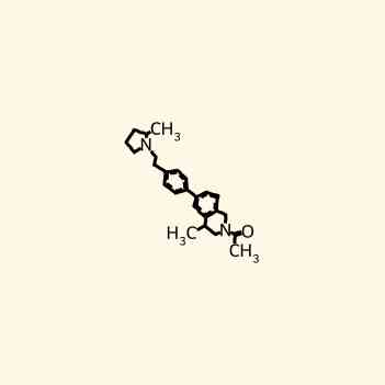 CC(=O)N1Cc2ccc(-c3ccc(CCN4CCCC4C)cc3)cc2C(C)C1